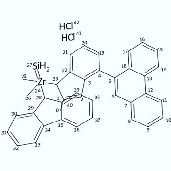 CC1=Cc2c(-c3cc4ccccc4c4ccccc34)cccc2[CH]1[Zr]([CH3])([CH3])(=[SiH2])[CH]1c2ccccc2-c2ccccc21.Cl.Cl